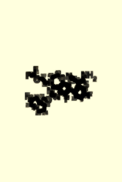 N#Cc1c(N)sc2c(F)ccc(-c3c(Cl)c4c5c(nc(OC[C@@]67CCCN6C[C@H](F)C7)nc5c3F)N(CCOC(F)F)CCO4)c12